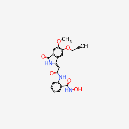 C#CCOc1cc2c(cc1OC)C(=O)N/C2=C\C(=O)Nc1ccccc1C(=O)NO